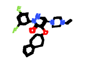 C=CN1CCN(c2cnn(-c3cc(F)cc(F)c3)c(=O)c2OC2CCc3ccccc3CC2)CC1